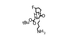 CC(C)(C)OC(=O)N[C@@H](CCCCN)C(=O)N1CCC(F)C1